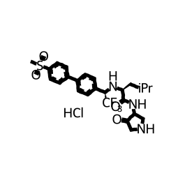 CC(C)C[C@H](N[C@@H](c1ccc(-c2ccc(S(C)(=O)=O)cc2)cc1)C(F)(F)F)C(=O)NC1CNCC1=O.Cl